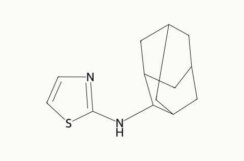 c1csc(NC2C3CC4CC(C3)CC2C4)n1